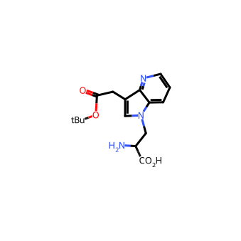 CC(C)(C)OC(=O)Cc1cn(CC(N)C(=O)O)c2cccnc12